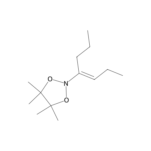 CC/C=C(\CCC)N1OC(C)(C)C(C)(C)O1